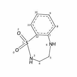 O=S1(=O)NCCNc2ccccc21